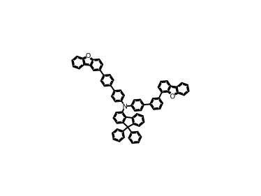 c1ccc(C2(c3ccccc3)c3ccccc3-c3c(N(c4ccc(-c5ccc(-c6ccc7oc8ccccc8c7c6)cc5)cc4)c4ccc(-c5cccc(-c6cccc7c6oc6ccccc67)c5)cc4)cccc32)cc1